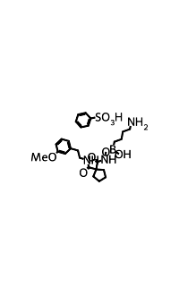 COc1cccc(CCNC(=O)C2(C(=O)NOB(O)CCCCN)CCCC2)c1.O=S(=O)(O)c1ccccc1